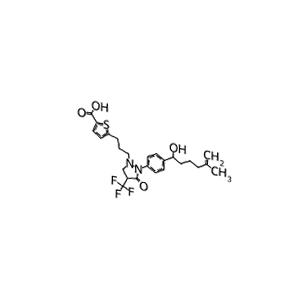 C=C(C)CCCC(O)c1ccc(N2C(=O)C(C(F)(F)F)CN2CCCc2ccc(C(=O)O)s2)cc1